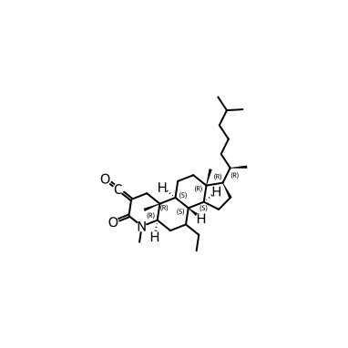 CCC1C[C@H]2N(C)C(=O)C(=C=O)C[C@]2(C)[C@H]2CC[C@]3(C)[C@@H]([C@H](C)CCCC(C)C)CC[C@H]3[C@H]12